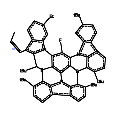 C/C=C\c1c2n(c3cc(CC)ccc13)-c1c(F)c3c4c5c1B(c1c(C(C)(C)C)ccc6c7ccc(C(C)(C)C)c(c7n-5c16)B4c1c(C(C)(C)C)ccc4c5ccc(C(C)(C)C)cc5n-3c14)C2C(C)(C)C